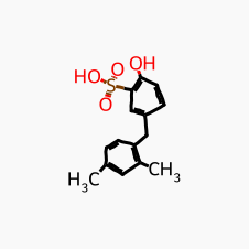 Cc1ccc(Cc2ccc(O)c(S(=O)(=O)O)c2)c(C)c1